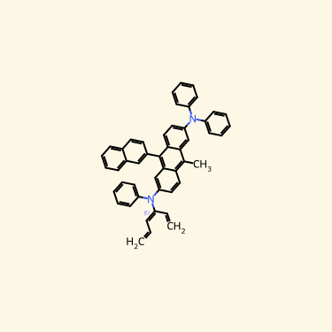 C=C/C=C(\C=C)N(c1ccccc1)c1ccc2c(C)c3cc(N(c4ccccc4)c4ccccc4)ccc3c(-c3ccc4ccccc4c3)c2c1